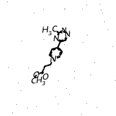 COC(=O)CC[n+]1ccc(-c2cnnc(C)n2)cc1